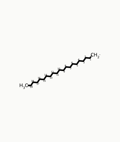 [CH2]CCCCCCCCCCCCCCCCCC[CH]C